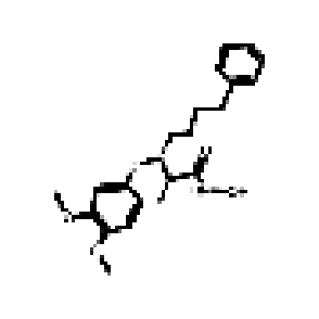 COc1ccc(S[C@@H](CCCCc2ccccc2)[C@H](C)C(=O)NO)cc1OC